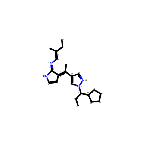 CC/C(C)=C/N=C1/NC=C/C1=C(/C)c1cnn(C(CC)C2CCCC2)c1